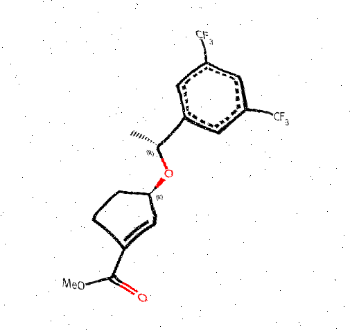 COC(=O)C1=C[C@H](O[C@H](C)c2cc(C(F)(F)F)cc(C(F)(F)F)c2)CC1